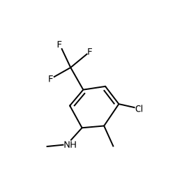 CNC1C=C(C(F)(F)F)C=C(Cl)C1C